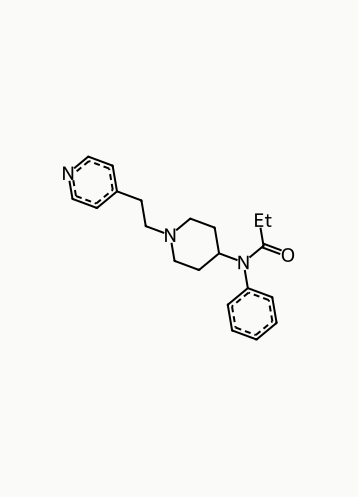 CCC(=O)N(c1ccccc1)C1CCN(CCc2ccncc2)CC1